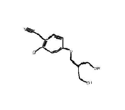 N#Cc1ccc(OCC(CO)CO)cc1Cl